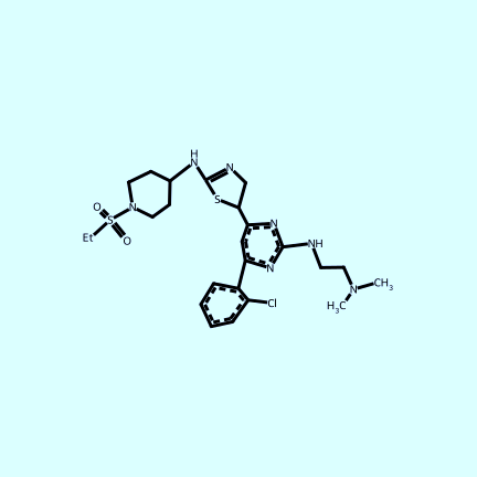 CCS(=O)(=O)N1CCC(NC2=NCC(c3cc(-c4ccccc4Cl)nc(NCCN(C)C)n3)S2)CC1